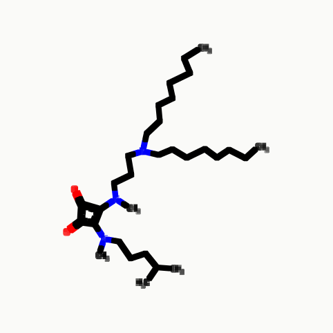 CCCCCCCCN(CCCCCCCC)CCCN(C)c1c(N(C)CCCC(C)C)c(=O)c1=O